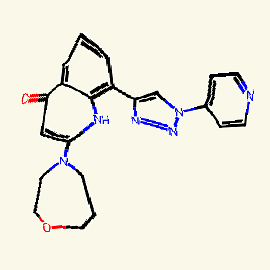 O=c1cc(N2CCCOCC2)[nH]c2c(-c3cn(-c4ccncc4)nn3)cccc12